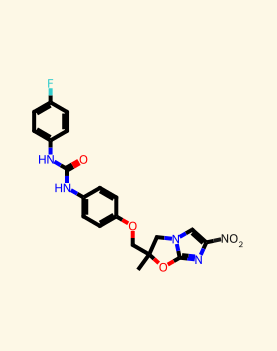 CC1(COc2ccc(NC(=O)Nc3ccc(F)cc3)cc2)Cn2cc([N+](=O)[O-])nc2O1